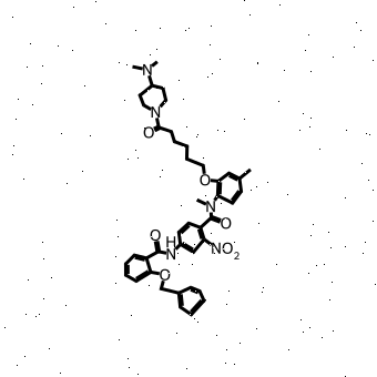 Cc1ccc(N(C)C(=O)c2ccc(NC(=O)c3ccccc3OCc3ccccc3)cc2[N+](=O)[O-])c(OCCCCCC(=O)N2CCC(N(C)C)CC2)c1